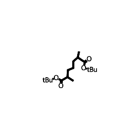 CC(CCCC(C)C(=O)OC(C)(C)C)C(=O)OC(C)(C)C